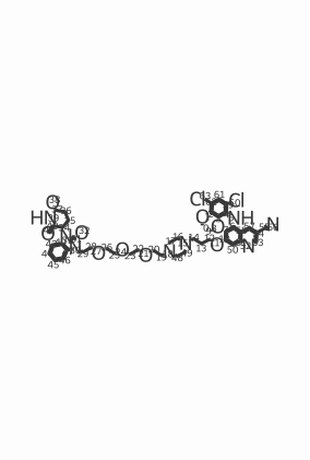 COc1cc(Nc2c(OC)c(OCCCN3CCN(CCOCCOCCOCCn4c(=O)n(C5CCC(=O)NC5=O)c5ccccc54)CC3)cc3ncc(C#N)cc23)c(Cl)cc1Cl